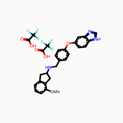 COc1cccc2c1CC(NCc1ccc(Oc3ccc4[nH]cnc4c3)cc1)C2.O=C(O)C(F)(F)F.O=C(O)C(F)(F)F